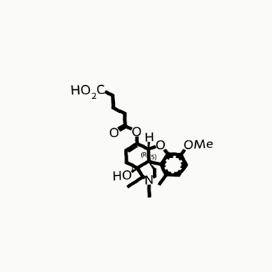 COc1ccc(C)c2c1O[C@H]1C(OC(=O)CCCC(=O)O)=CC[C@@]3(O)C(C)N(C)CC[C@]213